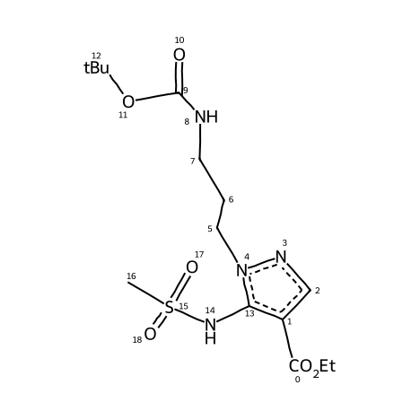 CCOC(=O)c1cnn(CCCNC(=O)OC(C)(C)C)c1NS(C)(=O)=O